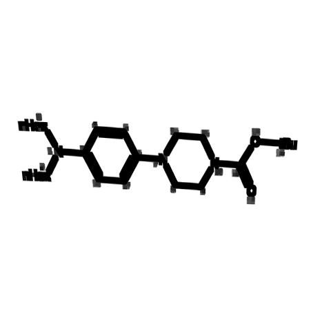 CCCCCCN(CCCCCC)c1ccc(N2CCN(C(=O)OC(C)(C)C)CC2)cc1